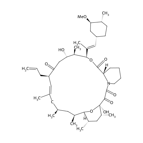 C=CC[C@@H]1/C=C(\C)C[C@H](C)C[C@H](C)[C@H]2O[C@@](O)(C(=O)C(=O)N3CCCC[C@H]3C(=O)O[C@H](/C(C)=C/[C@H]3CC[C@@H](C)[C@H](OC)C3)[C@H](C)[C@@H](O)CC1=O)[C@H](C)C[C@@H]2C